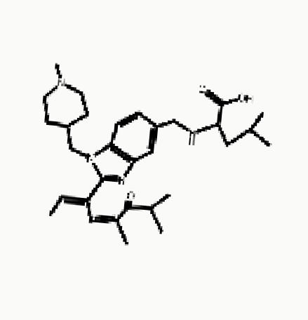 C/C=C(\C=C(\C)C(=O)C(C)C)c1nc2cc(CNC(CC(C)C)C(=O)O)ccc2n1CC1CCN(C)CC1